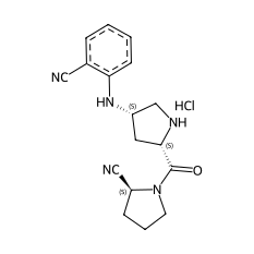 Cl.N#Cc1ccccc1N[C@@H]1CN[C@H](C(=O)N2CCC[C@H]2C#N)C1